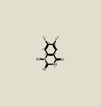 CCn1c(=O)[nH]c(=O)c2cc(F)c(F)cc21